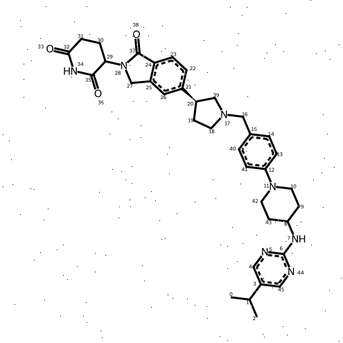 CC(C)c1cnc(NC2CCN(c3ccc(CN4CC[C@@H](c5ccc6c(c5)CN(C5CCC(=O)NC5=O)C6=O)C4)cc3)CC2)nc1